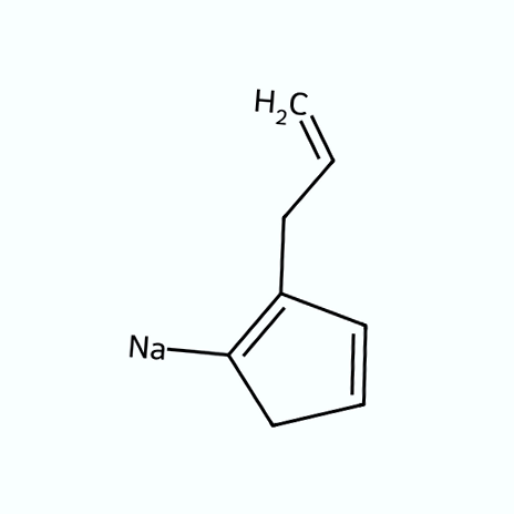 C=CCC1=[C]([Na])CC=C1